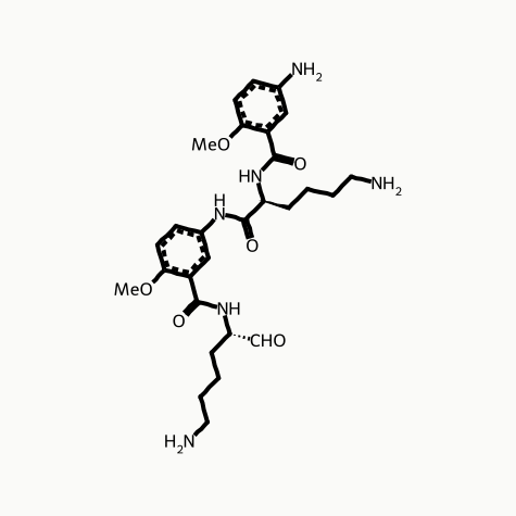 COc1ccc(NC(=O)[C@H](CCCCN)NC(=O)c2cc(N)ccc2OC)cc1C(=O)N[C@H](C=O)CCCCN